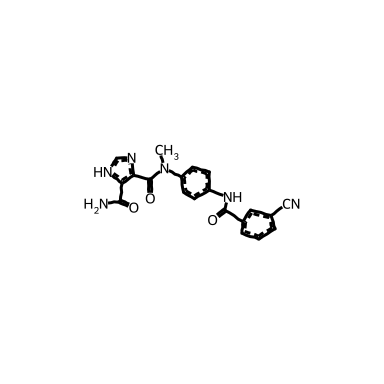 CN(C(=O)c1nc[nH]c1C(N)=O)c1ccc(NC(=O)c2cccc(C#N)c2)cc1